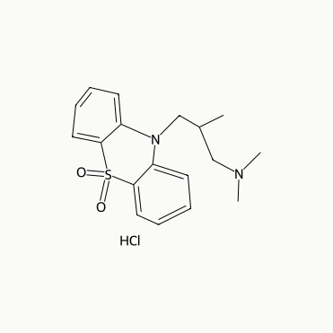 CC(CN(C)C)CN1c2ccccc2S(=O)(=O)c2ccccc21.Cl